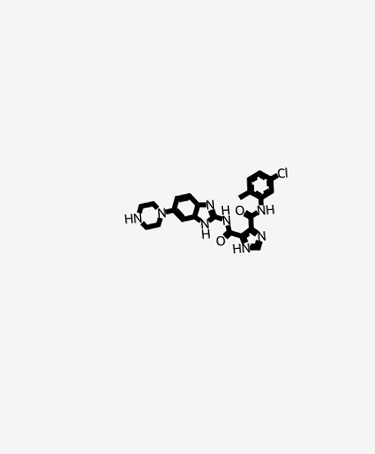 Cc1ccc(Cl)cc1NC(=O)c1nc[nH]c1C(=O)NC1=NC2C=CC(N3CCNCC3)=CC2N1